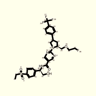 CCS(=O)(=O)c1ccc([C@H](CO)NC(=O)c2cnc(N3CC(c4ccc(C(F)(F)F)cc4)C[C@H]3COCCF)nc2)cc1